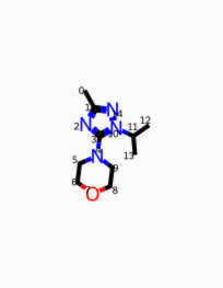 Cc1nc(N2CCOCC2)n(C(C)C)n1